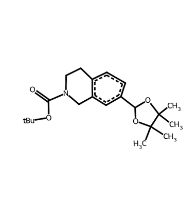 CC(C)(C)OC(=O)N1CCc2ccc(C3OC(C)(C)C(C)(C)O3)cc2C1